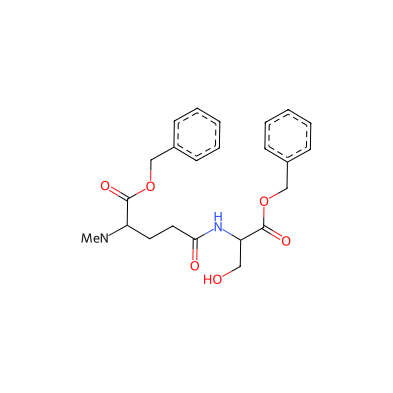 CNC(CCC(=O)NC(CO)C(=O)OCc1ccccc1)C(=O)OCc1ccccc1